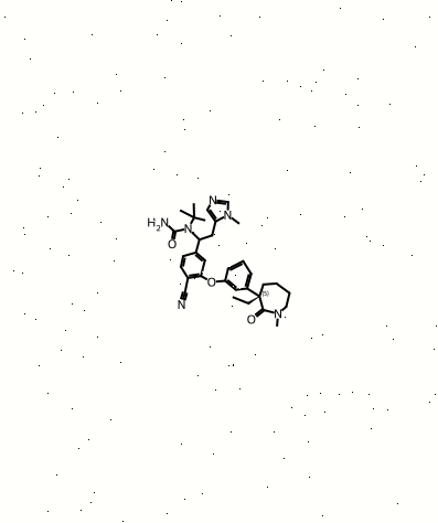 CC[C@@]1(c2cccc(Oc3cc(C(Cc4cncn4C)N(C(N)=O)C(C)(C)C)ccc3C#N)c2)CCCCN(C)C1=O